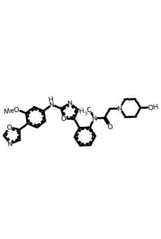 COc1cc(Nc2ncc(-c3ccccc3N(C)C(=O)CN3CCC(O)CC3)o2)ccc1-c1cnco1